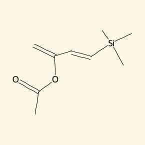 C=C(/C=C/[Si](C)(C)C)OC(C)=O